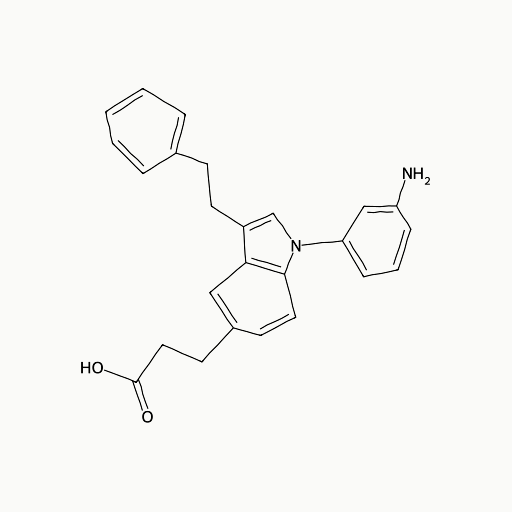 Nc1cccc(-n2cc(CCc3ccccc3)c3cc(CCC(=O)O)ccc32)c1